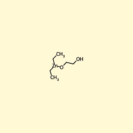 C[CH2][Zn]([CH2]C)[O]CCO